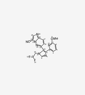 COc1cccc(-c2ncn(CC(F)F)c2-c2ccc3ncc(C#N)n3n2)n1